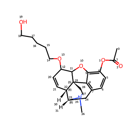 CC(=O)Oc1ccc2c3c1OC1C(OCCCCCO)C=C[C@H]4[C@@H](C2)N(C)CC[C@]314